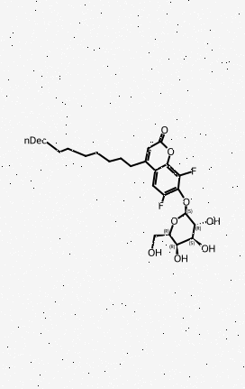 CCCCCCCCCCCCCCCCCc1cc(=O)oc2c(F)c(O[C@@H]3O[C@H](CO)[C@H](O)[C@H](O)[C@H]3O)c(F)cc12